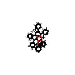 c1ccc(-c2nc3ccccc3c3c2cc(-c2ccccc2N2c4ccccc4C(c4ccccc4)(c4ccccc4)c4ccccc42)c2oc4ccccc4c23)cc1